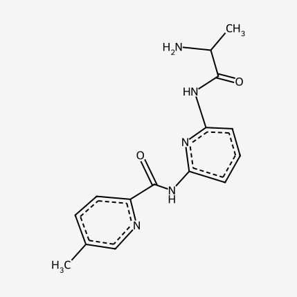 Cc1ccc(C(=O)Nc2cccc(NC(=O)C(C)N)n2)nc1